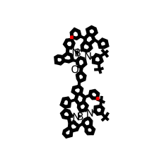 CC(C)(C)c1cc(N2c3cc4c(-c5ccccc5)c5cc(-c6ccc7c(c6)oc6c8c9c(cc67)N(c6cc(C(C)(C)C)cc(C(C)(C)C)c6)c6cc7c(-c%10ccccc%10)c%10ccccc%10c(-c%10ccccc%10)c7cc6B9n6c7ccccc7c7c9ccccc9cc-8c76)ccc5c(-c5ccccc5)c4cc3B3c4c2cc2ccccc2c4-c2cc4ccccc4c4c5ccccc5n3c24)cc(C(C)(C)C)c1